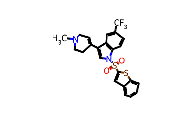 CN1CC=C(c2cn(S(=O)(=O)c3cc4ccccc4s3)c3ccc(C(F)(F)F)cc23)CC1